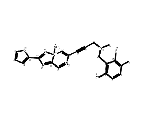 Cc1ccc(Cl)c(CN(C)CC#CC2=C[N+]3(N)N=C(c4ccco4)N=C3C=N2)c1F